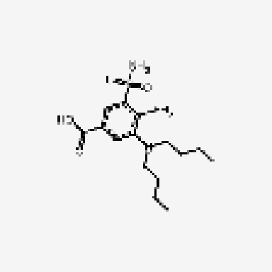 Bc1c(N(CCCC)CCCC)cc(C(=O)O)cc1S(N)(=O)=O